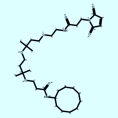 CC(C)(CCOCCNC(=O)CCN1C(=O)C=CC1=O)OCCC(C)(C)OCCC(=O)NC1CCCCCCCCC1